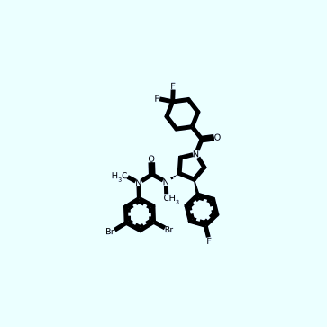 CN(C(=O)N(C)[C@@H]1CN(C(=O)C2CCC(F)(F)CC2)C[C@H]1c1ccc(F)cc1)c1cc(Br)cc(Br)c1